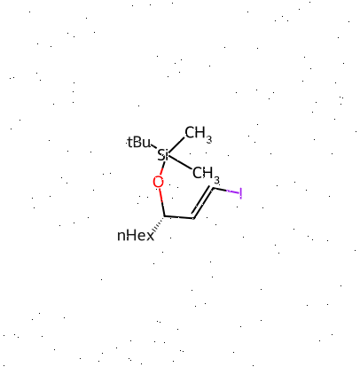 CCCCCC[C@@H](C=CI)O[Si](C)(C)C(C)(C)C